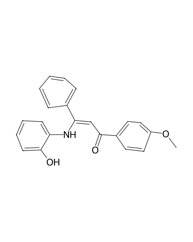 COc1ccc(C(=O)/C=C(\Nc2ccccc2O)c2ccccc2)cc1